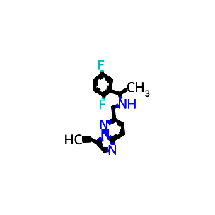 C#Cc1cnc2ccc(CNC(C)c3cc(F)ccc3F)nn12